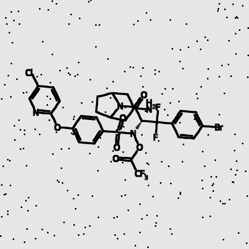 NC1CC2CCC(C1)N2C(=O)[C@@H](N(OC(=O)C(F)(F)F)S(=O)(=O)c1ccc(Oc2ccc(Cl)cn2)cc1)C(F)(F)c1ccc(Br)cc1